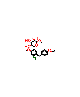 CCOc1ccc(Cc2cc([C@@H]3O[C@H](OC)[C@@H](O)[C@H](O)[C@H]3O)c(OC)cc2Cl)cc1